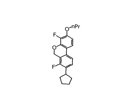 CCCOc1ccc2c(c1F)OCc1c-2ccc(C2CCCC2)c1F